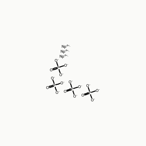 O=P([O-])([O-])[O-].O=P([O-])([O-])[O-].O=P([O-])([O-])[O-].O=P([O-])([O-])[O-].[Np+4].[Np+4].[Np+4]